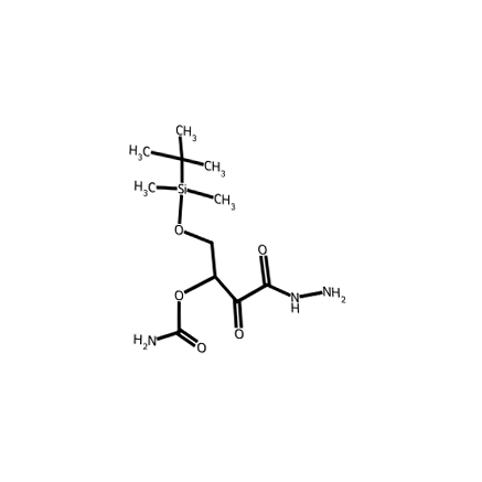 CC(C)(C)[Si](C)(C)OCC(OC(N)=O)C(=O)C(=O)NN